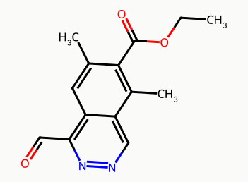 CCOC(=O)c1c(C)cc2c(C=O)nncc2c1C